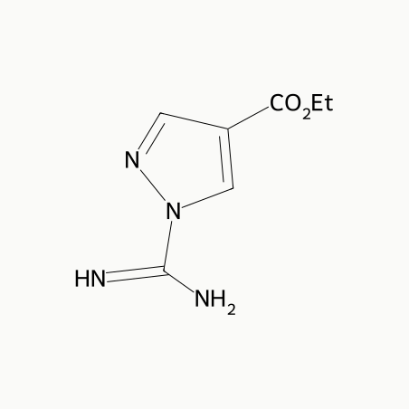 CCOC(=O)c1cnn(C(=N)N)c1